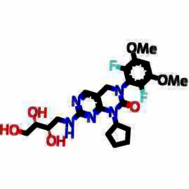 COc1cc(OC)c(F)c(N2Cc3cnc(NC[C@H](O)[C@@H](O)CO)nc3N(C3CCCC3)C2=O)c1F